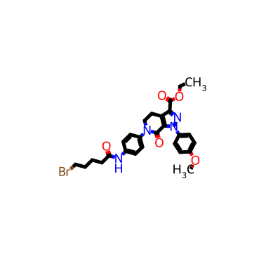 CCOC(=O)c1nn(-c2ccc(OC)cc2)c2c1CCN(c1ccc(NC(=O)CCCCBr)cc1)C2=O